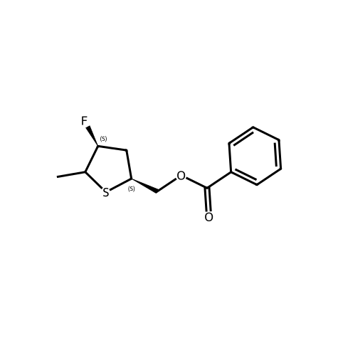 CC1S[C@H](COC(=O)c2ccccc2)C[C@@H]1F